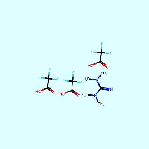 CN(C)C(=N)N(C)C.O=C(O)C(F)(F)F.O=C(O)C(F)(F)F.O=C(O)C(F)(F)F